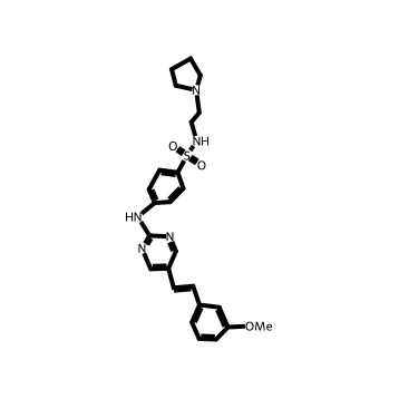 COc1cccc(/C=C/c2cnc(Nc3ccc(S(=O)(=O)NCCN4CCCC4)cc3)nc2)c1